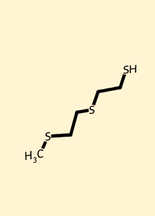 CSCCSCCS